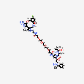 CC[C@@H](NCCC(=O)[C@@H]1C[C@H](NC(=O)CCOCCOCCOCCOCCC(=O)NCCn2nc(C#N)c3c2CN(C)C(=O)c2ccc(F)cc2[C@@H](C)Oc2cc-3cnc2N)CN1C(=O)[C@@H](NC(O)[C@H](C)NC)C(C)(C)C)c1ccccc1